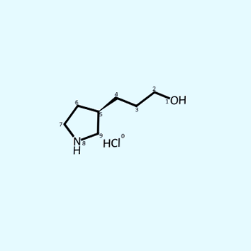 Cl.OCCC[C@@H]1CCNC1